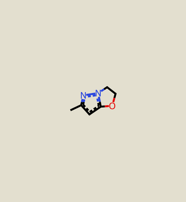 Cc1cc2n(n1)CCO2